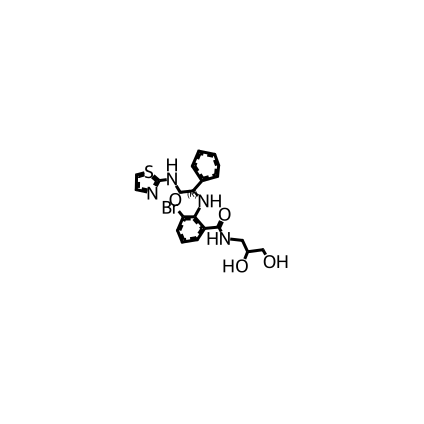 O=C(NCC(O)CO)c1cccc(Br)c1N[C@@H](C(=O)Nc1nccs1)c1ccccc1